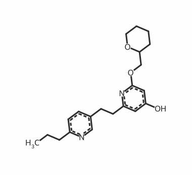 CCCc1ccc(CCc2cc(O)cc(OCC3CCCCO3)n2)cn1